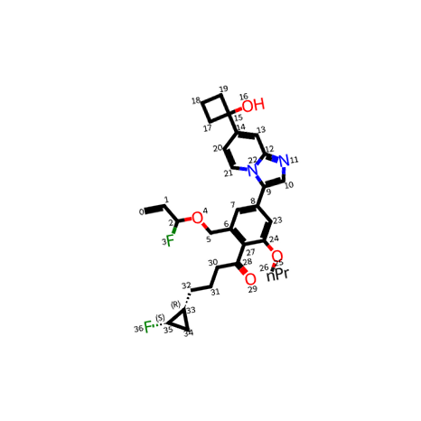 C=CC(F)OCc1cc(-c2cnc3cc(C4(O)CCC4)ccn23)cc(OCCC)c1C(=O)CCC[C@@H]1C[C@@H]1F